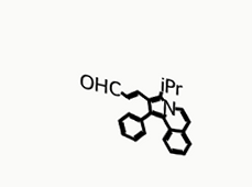 CC(C)c1c(C=CC=O)c(-c2ccccc2)c2c3ccccc3ccn12